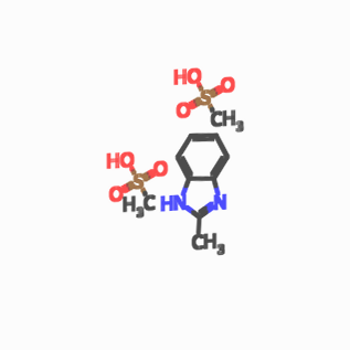 CS(=O)(=O)O.CS(=O)(=O)O.Cc1nc2ccccc2[nH]1